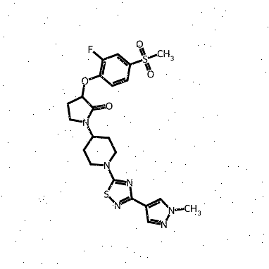 Cn1cc(-c2nsc(N3CCC(N4CCC(Oc5ccc(S(C)(=O)=O)cc5F)C4=O)CC3)n2)cn1